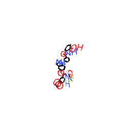 C[C@H](NC(=O)C(C)(F)F)[C@H](Oc1ccc2c(cnn2-c2cccc(C(=O)N[C@@H]3CCCC3O)c2)c1)c1ccc2c(c1)OCCO2